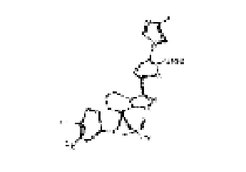 COc1nc(-c2nnc3n2CCCC3(Oc2ccc(F)c(C(F)(F)F)c2)C(C)(C)O)ccc1-n1cnc(C)c1